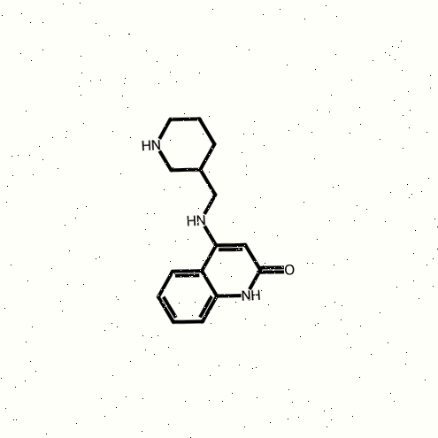 O=c1cc(NCC2CCCNC2)c2ccccc2[nH]1